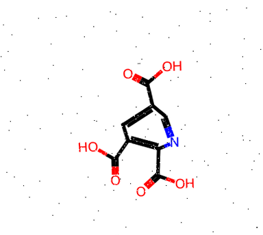 O=C(O)c1cnc(C(=O)O)c(C(=O)O)c1